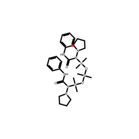 C[Si](C)(O[Si](C)(C)N(C(=O)Nc1ccccc1)N1CCCC1)O[Si](C)(C)N(C(=O)Nc1ccccc1)N1CCCC1